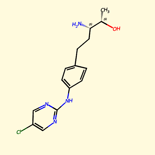 C[C@H](O)[C@@H](N)CCc1ccc(Nc2ncc(Cl)cn2)cc1